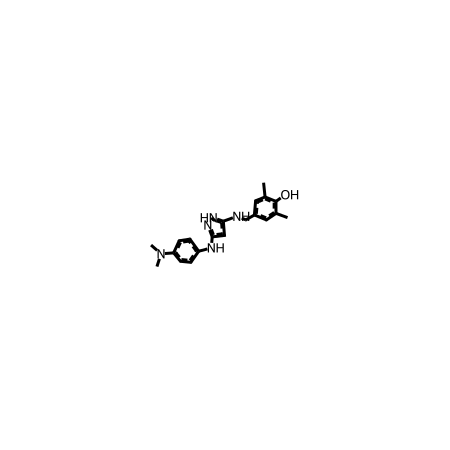 Cc1cc(CNc2cc(Nc3ccc(N(C)C)cc3)n[nH]2)cc(C)c1O